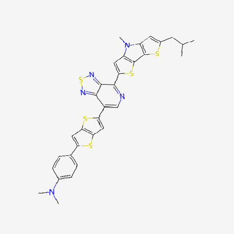 CC(C)Cc1cc2c(s1)c1sc(-c3ncc(-c4cc5sc(-c6ccc(N(C)C)cc6)cc5s4)c4nsnc34)cc1n2C